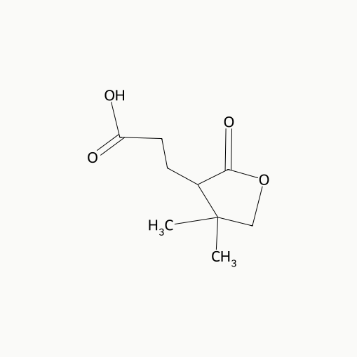 CC1(C)COC(=O)C1CCC(=O)O